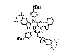 CC(C)(C)c1ccc(N2B3c4oc5cc6c(cc5c4N(c4ccc(C(C)(C)C)cc4)c4cc5c(oc7ccccc75)c(c43)-c3cc4c(cc32)oc2cc3c(cc24)C(C)(C)CCC3(C)C)C(C)(C)CCC6(C)C)cc1